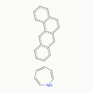 C1=CC=CNC=C1.c1ccc2cc3c(ccc4ccccc43)cc2c1